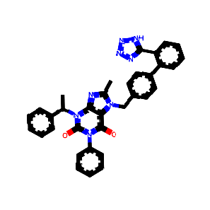 Cc1nc2c(c(=O)n(-c3ccccc3)c(=O)n2C(C)c2ccccc2)n1Cc1ccc(-c2ccccc2-c2nnn[nH]2)cc1